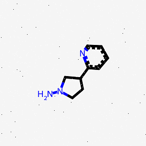 NN1CCC(c2ccccn2)C1